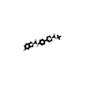 CC(C)(C)OC(=O)N1CC=C(c2ccc(NC(=O)N3Cc4ccc(F)cc4C3)cc2)CC1